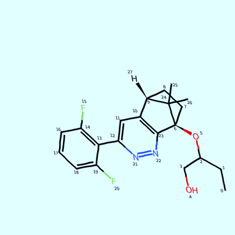 CCC(CO)O[C@@]12CC[C@@H](c3cc(-c4c(F)cccc4F)nnc31)C2(C)C